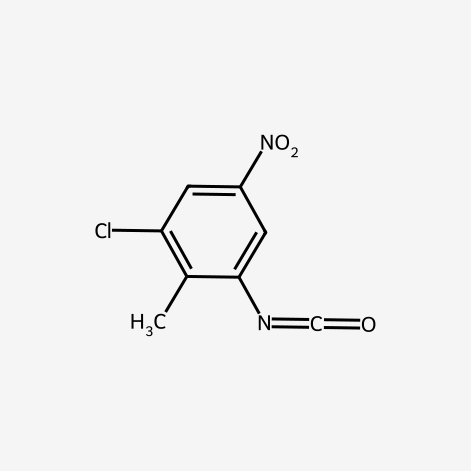 Cc1c(Cl)cc([N+](=O)[O-])cc1N=C=O